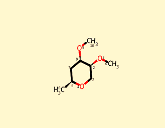 CO[C@H]1CO[C@@H](C)C[C@H]1OC